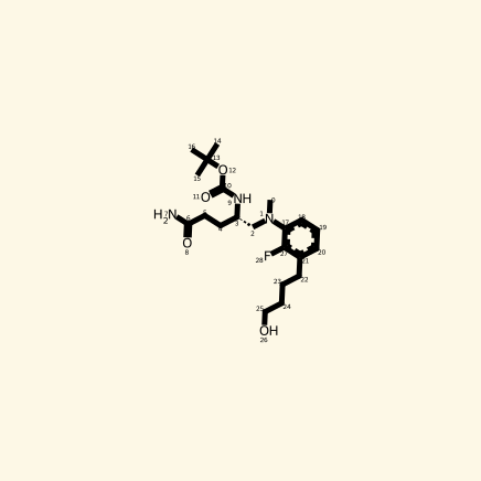 CN(C[C@H](CCC(N)=O)NC(=O)OC(C)(C)C)c1cccc(CCCCO)c1F